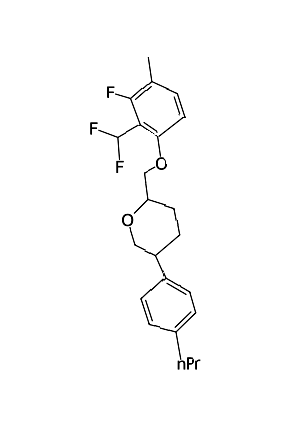 CCCc1ccc(C2CCC(COc3ccc(C)c(F)c3C(F)F)OC2)cc1